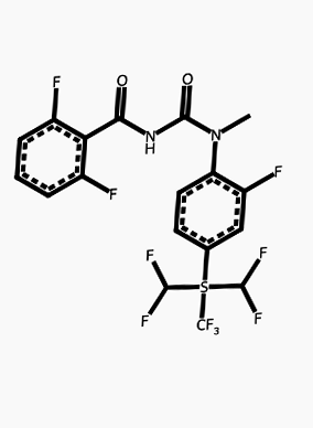 CN(C(=O)NC(=O)c1c(F)cccc1F)c1ccc(S(C(F)F)(C(F)F)C(F)(F)F)cc1F